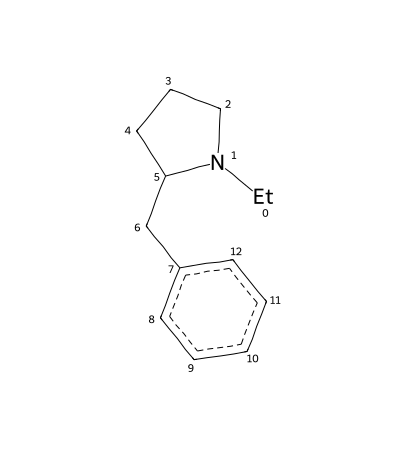 CCN1CCCC1Cc1ccccc1